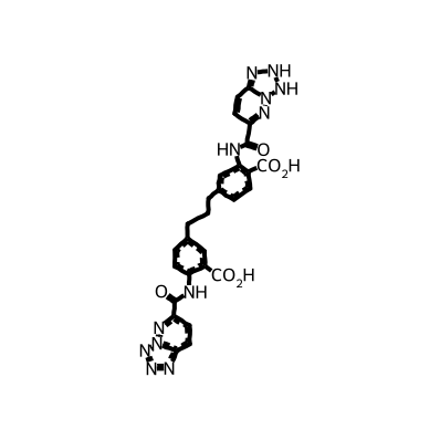 O=C(Nc1cc(CCCc2ccc(NC(=O)c3ccc4nnnn4n3)c(C(=O)O)c2)ccc1C(=O)O)C1=NN2NNN=C2C=C1